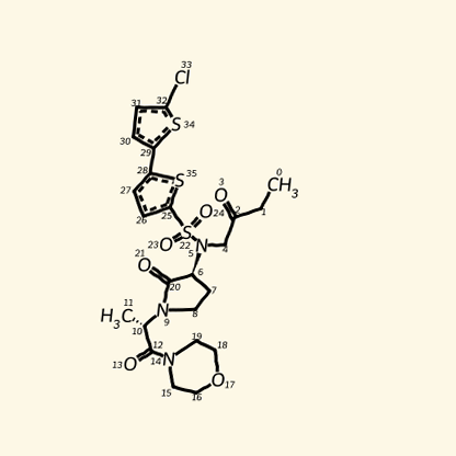 CCC(=O)CN([C@H]1CCN([C@@H](C)C(=O)N2CCOCC2)C1=O)S(=O)(=O)c1ccc(-c2ccc(Cl)s2)s1